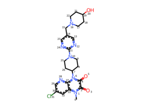 Cn1c(=O)c(=O)n(C2CCN(c3ncc(CN4CCC(O)CC4)cn3)CC2)c2ncc(Cl)cc21